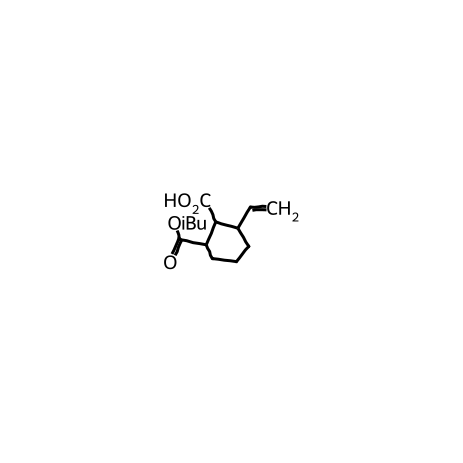 C=CC1CCCC(C(=O)OCC(C)C)C1C(=O)O